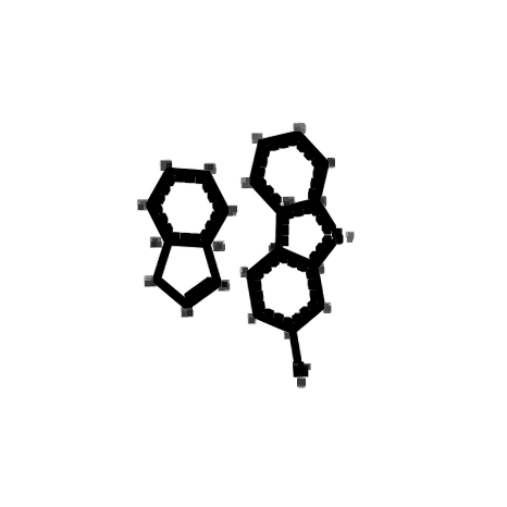 Brc1ccc2c(c1)sc1ccccc12.C1=Cc2ccccc2C1